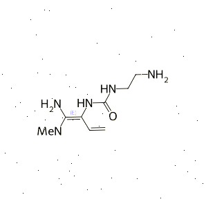 C=C/C(NC(=O)NCCN)=C(/N)NC